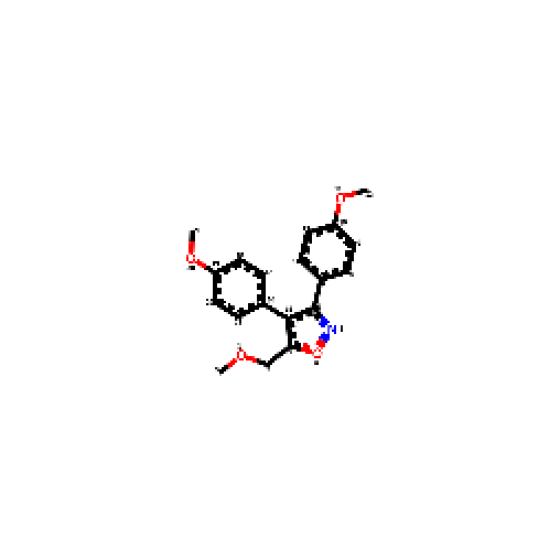 COCc1onc(-c2ccc(OC)cc2)c1-c1ccc(OC)cc1